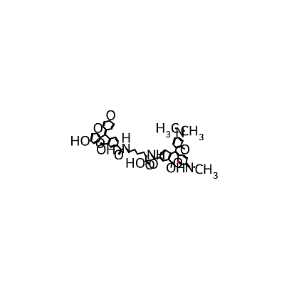 CC/N=c1/ccc2c(-c3ccc(C(=O)NC(CCCCNC(=O)c4ccc(-c5c6ccc(=O)cc-6oc6cc(O)ccc56)c(C(=O)O)c4)C(=O)O)cc3C(=O)O)c3ccc(N(C)C)cc3oc-2c1